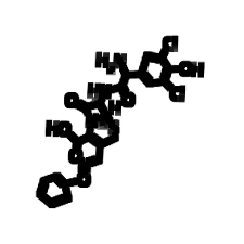 NC(C(=O)N[C@@H]1C(=O)N2C(C(=O)O)=C(C=NOc3ccccc3)CS[C@@H]12)c1cc(Cl)c(O)c(Cl)c1